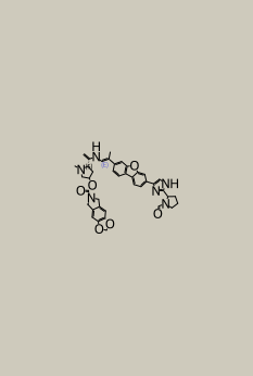 C=C(N/C=C(\C)c1ccc2c(c1)oc1cc(-c3c[nH]c(C4CCCN4C=O)n3)ccc12)[C@@H]1CC(OC(=O)N2Cc3cc4c(cc3C2)OCO4)CN1C